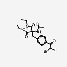 CCOC(=O)C(Cc1ccc(C(=O)C(C)Br)cc1)(NC(C)=O)C(=O)OCC